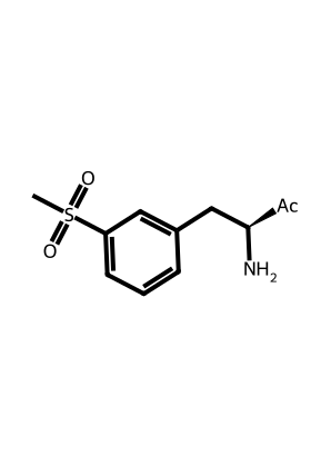 CC(=O)[C@@H](N)Cc1cccc(S(C)(=O)=O)c1